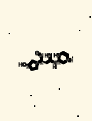 N=C(C[C@@H](N=O)N1CC[C@@H](O)C1)N[C@H]1CNC=CN1